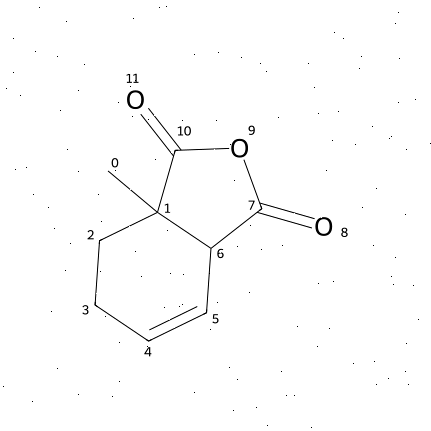 CC12CCC=CC1C(=O)OC2=O